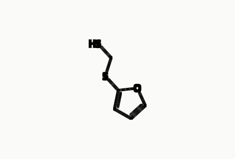 SCSc1ccco1